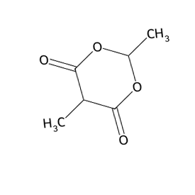 CC1OC(=O)C(C)C(=O)O1